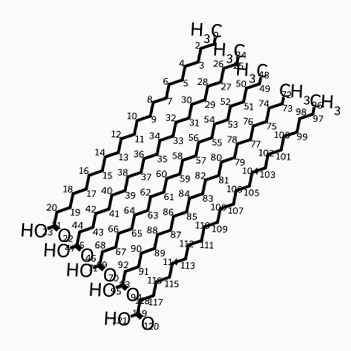 CCCCCCCCCCCCCCCCCCCCCC(=O)O.CCCCCCCCCCCCCCCCCCCCCC(=O)O.CCCCCCCCCCCCCCCCCCCCCC(=O)O.CCCCCCCCCCCCCCCCCCCCCC(=O)O.CCCCCCCCCCCCCCCCCCCCCCCC(=O)O